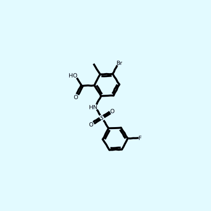 Cc1c(Br)ccc(NS(=O)(=O)c2cccc(F)c2)c1C(=O)O